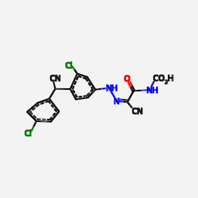 N#CC(=NNc1ccc(C(C#N)c2ccc(Cl)cc2)c(Cl)c1)C(=O)NC(=O)O